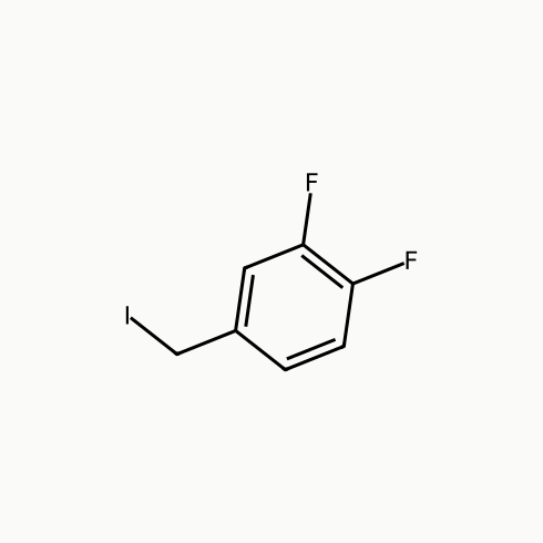 Fc1ccc(CI)cc1F